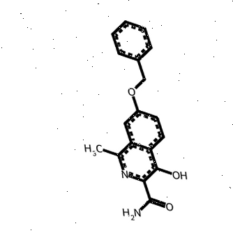 Cc1nc(C(N)=O)c(O)c2ccc(OCc3ccccc3)cc12